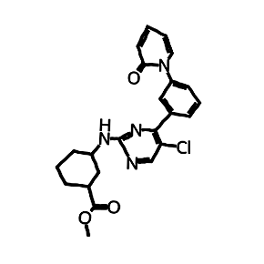 COC(=O)C1CCCC(Nc2ncc(Cl)c(-c3cccc(-n4ccccc4=O)c3)n2)C1